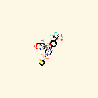 CC1(O)C[C@H]2COC[C@@H](C1)N2C[C@H]1CN(S(=O)(=O)c2cccs2)CCN1c1ccc([C@@](C)(O)C(F)(F)F)cc1